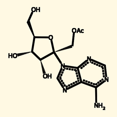 CC(=O)OC[C@@]1(n2cnc3c(N)ncnc32)O[C@H](CO)[C@@H](O)[C@H]1O